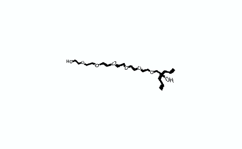 C=CCC(O)(CC=C)COCCOCCOCCOCCOCCOCCO